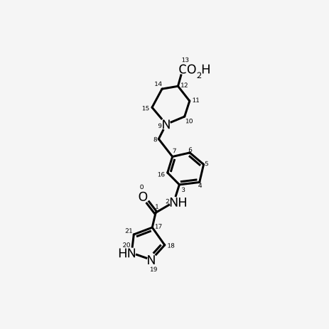 O=C(Nc1cccc(CN2CCC(C(=O)O)CC2)c1)c1cn[nH]c1